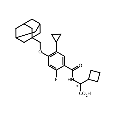 O=C(N[C@H](C(=O)O)C1CCC1)c1cc(C2CC2)c(OCC23CC4CC(CC(C4)C2)C3)cc1F